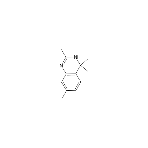 CC1=Nc2cc(C)ccc2C(C)(C)N1